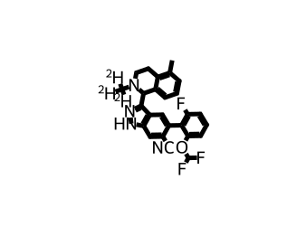 [2H]C([2H])([2H])N1CCc2c(C)cccc2C1c1n[nH]c2cc([N+]#[C-])c(-c3c(F)cccc3OC(F)F)cc12